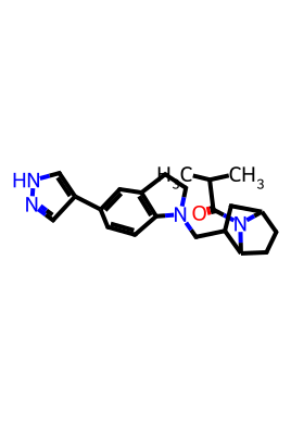 CC(C)C(=O)N1C2CCC1C(CN1CCc3cc(-c4cn[nH]c4)ccc31)C2